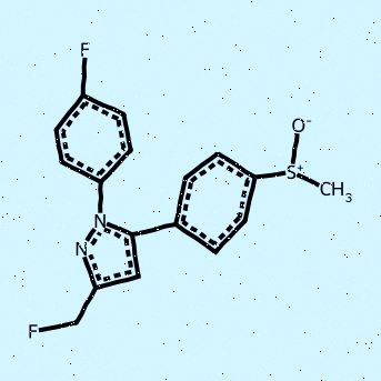 C[S+]([O-])c1ccc(-c2cc(CF)nn2-c2ccc(F)cc2)cc1